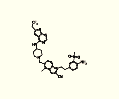 Cc1c(CN2CCC(Nc3ncnc4sc(CC(F)(F)F)cc34)CC2)ccc2c1cc(C#N)n2CCc1ccc(N)c(S(C)(=O)=O)c1